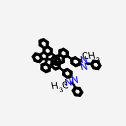 Cn1c(-c2ccccc2)nc2ccc(-c3cccc4c(-c5cc6ccccc6c6c5C5(c7ccccc7-c7ccccc75)c5ccccc5-6)c5cccc(-c6ccc7nc(-c8ccccc8)n(C)c7c6)c5cc34)cc21